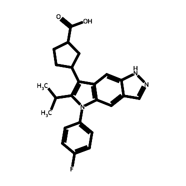 CC(C)c1c(C2CCC(C(=O)O)C2)c2cc3[nH]ncc3cc2n1-c1ccc(F)cc1